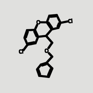 Clc1ccc2c(c1)C(COCc1ccccc1)c1cc(Cl)ccc1O2